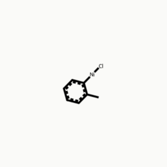 Cc1cccc[c]1[Ni][Cl]